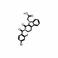 O=C(O)Cn1c2c(c3ccccc31)CCN(C(=O)c1ccc(Br)cc1F)C2=O